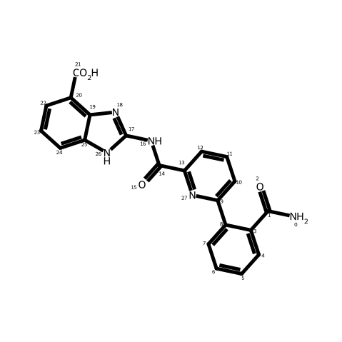 NC(=O)c1ccccc1-c1cccc(C(=O)Nc2nc3c(C(=O)O)cccc3[nH]2)n1